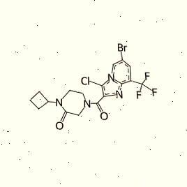 O=C(c1nc2c(C(F)(F)F)cc(Br)cn2c1Cl)N1CCN(C2CCC2)C(=O)C1